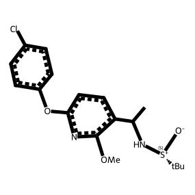 COc1nc(Oc2ccc(Cl)cc2)ccc1C(C)N[S@+]([O-])C(C)(C)C